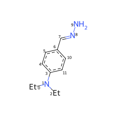 CCN(CC)c1ccc(C=NN)cc1